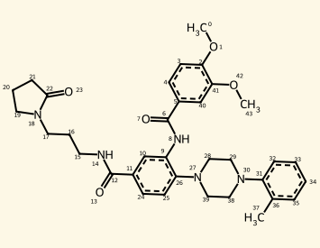 COc1ccc(C(=O)Nc2cc(C(=O)NCCCN3CCCC3=O)ccc2N2CCN(c3ccccc3C)CC2)cc1OC